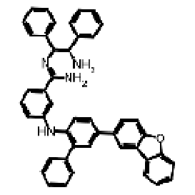 N/C(=N\C(c1ccccc1)[C@H](N)c1ccccc1)c1cccc(Nc2ccc(-c3ccc4oc5ccccc5c4c3)cc2-c2ccccc2)c1